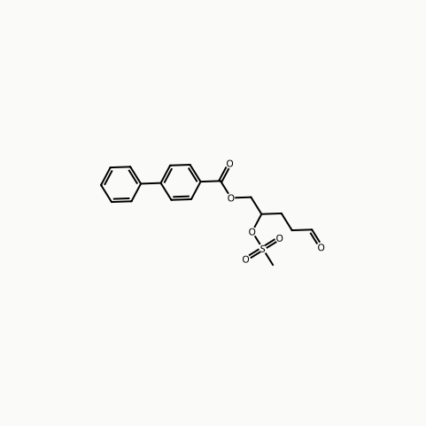 CS(=O)(=O)OC(CCC=O)COC(=O)c1ccc(-c2ccccc2)cc1